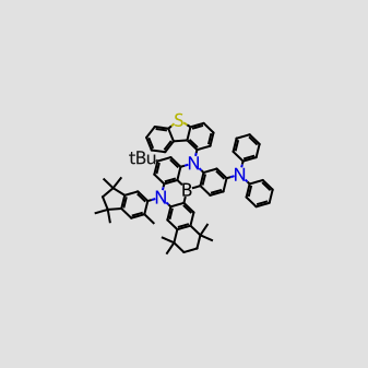 Cc1cc2c(cc1N1c3cc4c(cc3B3c5ccc(N(c6ccccc6)c6ccccc6)cc5N(c5cccc6sc7ccccc7c56)c5cc(C(C)(C)C)cc1c53)C(C)(C)CCC4(C)C)C(C)(C)CC2(C)C